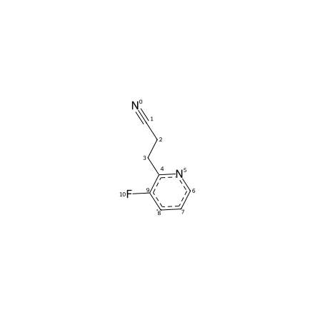 N#CCCc1ncc[c]c1F